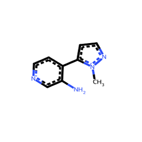 Cn1nccc1-c1ccncc1N